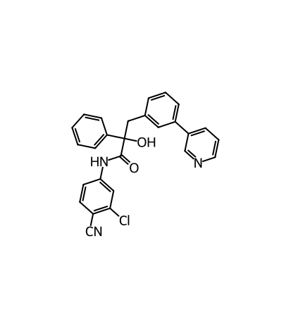 N#Cc1ccc(NC(=O)C(O)(Cc2cccc(-c3cccnc3)c2)c2ccccc2)cc1Cl